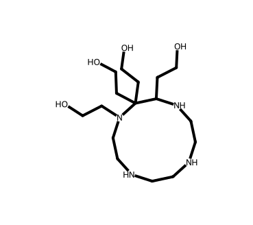 OCCC1NCCNCCNCCN(CCO)C1(CCO)CCO